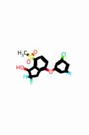 CS(=O)(=O)c1ccc(Oc2cc(F)cc(Cl)c2)c2c1C(O)C(F)(F)C2